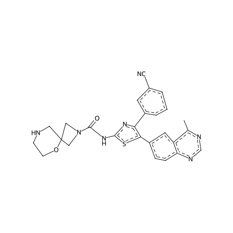 Cc1ncnc2ccc(-c3sc(NC(=O)N4CC5(CNCCO5)C4)nc3-c3cccc(C#N)c3)cc12